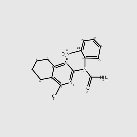 NC(=O)N(c1nc(Cl)c2c(n1)CCCC2)c1ccccc1[N+](=O)[O-]